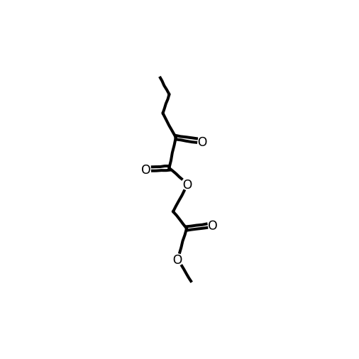 CCCC(=O)C(=O)OCC(=O)OC